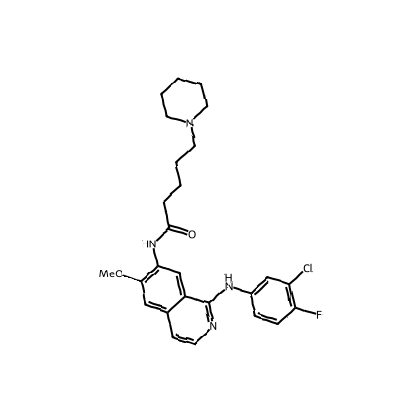 COc1cc2ccnc(Nc3ccc(F)c(Cl)c3)c2cc1NC(=O)CCCCN1CCCCC1